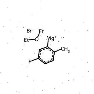 CCOCC.Cc1ccc(F)c[c]1[Mg+].[Br-]